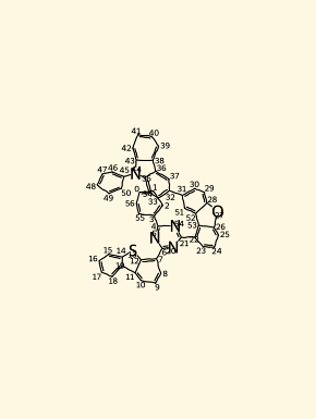 c1ccc(-c2nc(-c3cccc4c3sc3ccccc34)nc(-c3cccc4oc5ccc(-c6ccc7c(c6)c6ccccc6n7-c6ccccc6)cc5c34)n2)cc1